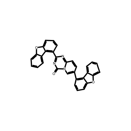 O=c1nc(-c2cccc3oc4ccccc4c23)nc2ccc(-c3cccc4oc5ccccc5c34)cn12